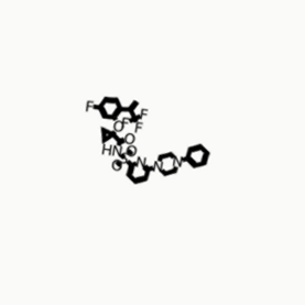 C=C(c1ccc(F)cc1OC1(C(=O)NS(=O)(=O)c2cccc(N3CCN(c4ccccc4)CC3)n2)CC1)C(F)(F)F